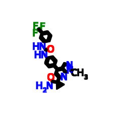 Cn1ncc2c(-c3ccc(NC(=O)Nc4cccc(C(F)(F)F)c4)cc3)cc(C3(C(N)=O)CC3)nc21